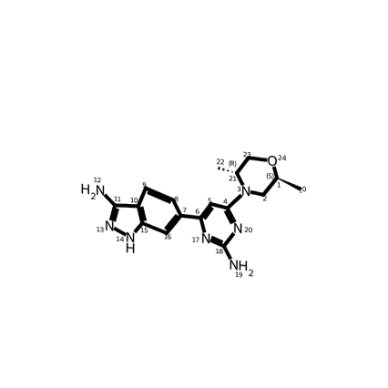 [CH2][C@H]1CN(c2cc(-c3ccc4c(N)n[nH]c4c3)nc(N)n2)[C@H](C)CO1